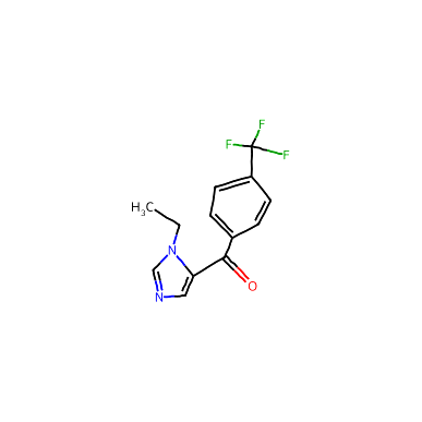 CCn1cncc1C(=O)c1ccc(C(F)(F)F)cc1